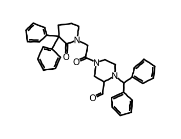 O=CC1CN(C(=O)CN2CCCC(c3ccccc3)(c3ccccc3)C2=O)CCN1C(c1ccccc1)c1ccccc1